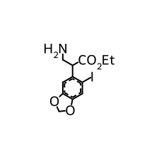 CCOC(=O)C(CN)c1cc2c(cc1I)OCO2